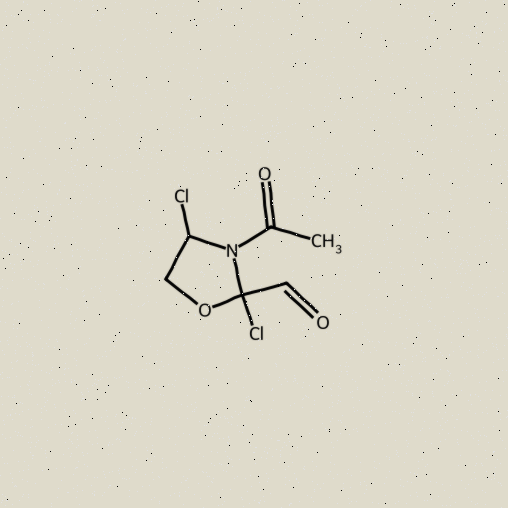 CC(=O)N1C(Cl)COC1(Cl)C=O